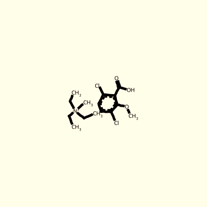 CC[N+](C)(CC)CC.COc1c(Cl)ccc(Cl)c1C(=O)O